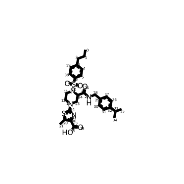 CCCc1ccc(S(=O)(=O)N2CCN(c3nc(C(=O)O)c(C)s3)CC2C(=O)NCc2ccc(C(C)C)cc2)cc1